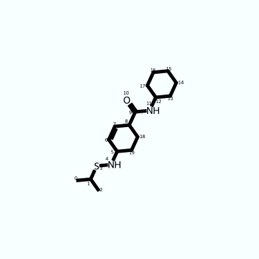 CC(C)SNC1C=CC(C(=O)NC2CCCCC2)CC1